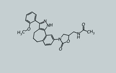 COc1ccccc1-c1n[nH]c2c1CCCc1ccc(N3CC(CNC(C)=O)OC3=O)cc1-2